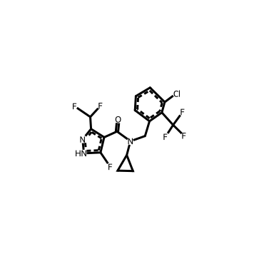 O=C(c1c(C(F)F)n[nH]c1F)N(Cc1cccc(Cl)c1C(F)(F)F)C1CC1